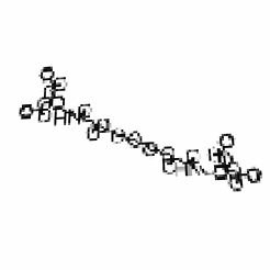 O=C(CCC(=O)OCCOCCOCCOCCOC(=O)CCC(=O)NCCc1ccc(OC(=O)c2ccccc2)c(OC(=O)c2ccccc2)c1)NCCc1ccc(OC(=O)c2ccccc2)c(OC(=O)c2ccccc2)c1